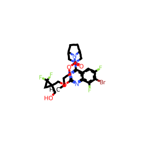 CCCCOC(=O)N1C2CCC1CN(c1nc(OCC3(CO)CC3(F)F)nc3c(F)c(Br)c(F)cc13)C2